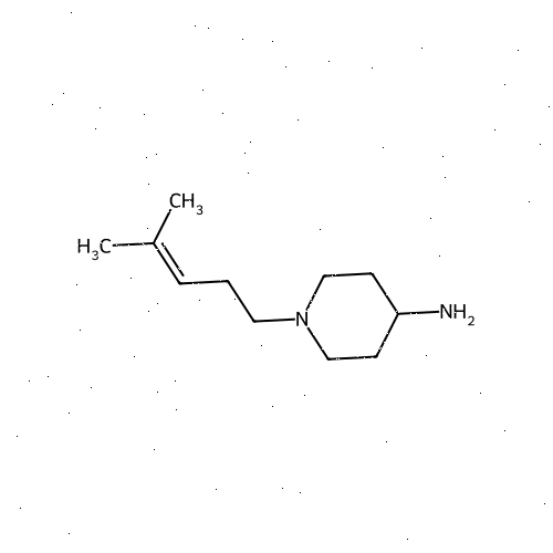 CC(C)=CCCN1CCC(N)CC1